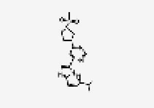 CS(=O)(=O)N1CCC(c2cc(-c3cnc4ccc(C(F)F)nn34)ncn2)C1